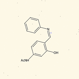 CC(=O)Nc1ccc(/C=N\c2ccccc2)c(O)c1